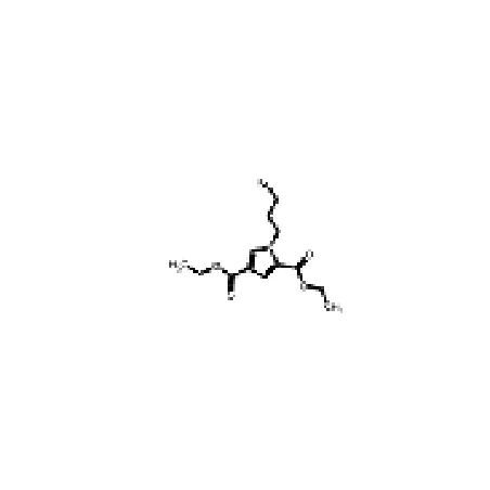 CCOC(=O)c1cc(C(=O)OCC)n(CCCBr)c1